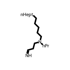 CCCCCCCCCCCCN(CCC)CCC=N